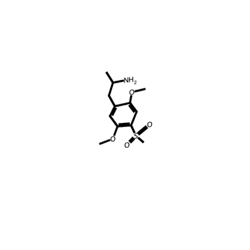 COc1cc(S(C)(=O)=O)c(OC)cc1CC(C)N